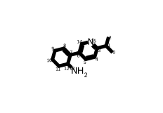 CC(C)c1ccc(C2=CCCCC2N)cn1